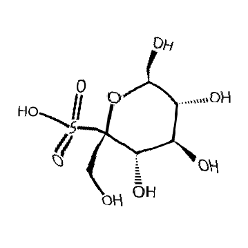 O=S(=O)(O)[C@]1(CO)O[C@@H](O)[C@H](O)[C@@H](O)[C@@H]1O